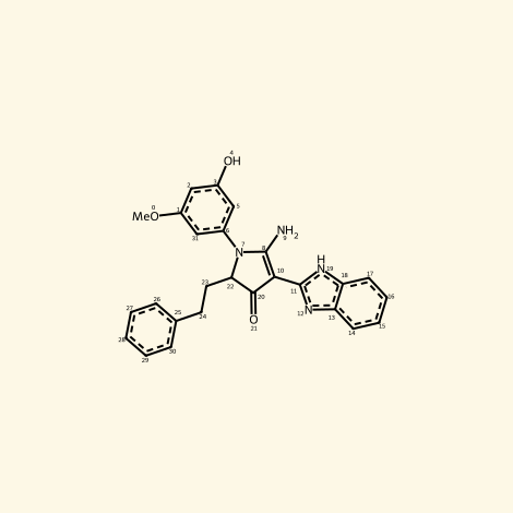 COc1cc(O)cc(N2C(N)=C(c3nc4ccccc4[nH]3)C(=O)C2CCc2ccccc2)c1